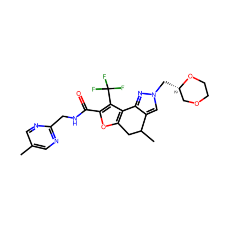 Cc1cnc(CNC(=O)c2oc3c(c2C(F)(F)F)-c2nn(C[C@H]4COCCO4)cc2C(C)C3)nc1